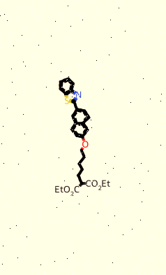 CCOC(=O)C(CCCCCOc1ccc2cc(-c3nc4ccccc4s3)ccc2c1)C(=O)OCC